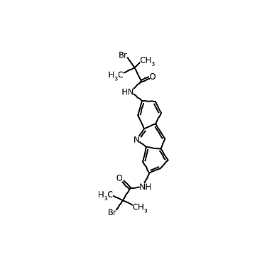 CC(C)(Br)C(=O)Nc1ccc2cc3ccc(NC(=O)C(C)(C)Br)cc3nc2c1